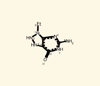 CCN1NNc2c1nc(N)[nH]c2=O